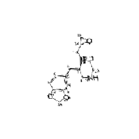 c1cc2c(cc1CC1CNCCN1CC1CO1)OCO2